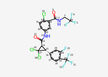 O=C(NCC(F)(F)F)c1cc(NC(=O)[C@H]2[C@H](c3ccc(C(F)(F)F)c(F)c3)C2(Cl)Cl)ccc1Cl